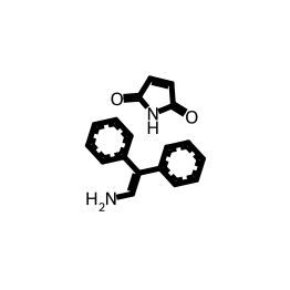 NC=C(c1ccccc1)c1ccccc1.O=C1C=CC(=O)N1